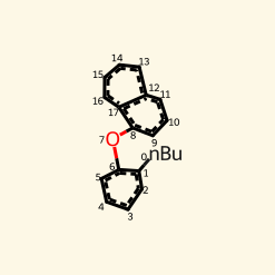 CCCCc1ccccc1Oc1cccc2ccccc12